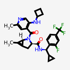 CC1=C2C[C@H](C(=O)N[C@@H](c3ccc(C(F)(F)F)cc3F)C3CC3)N(C(=O)c3cc(C)ncc3NC3CCC3)[C@H]12